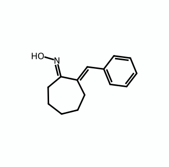 ON=C1CCCCCC1=Cc1ccccc1